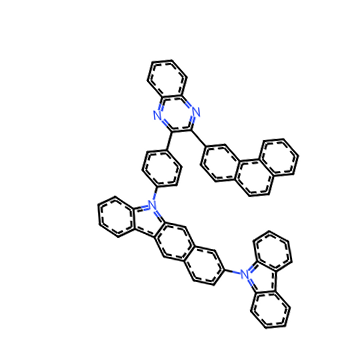 c1ccc2c(c1)ccc1ccc(-c3nc4ccccc4nc3-c3ccc(-n4c5ccccc5c5cc6ccc(-n7c8ccccc8c8ccccc87)cc6cc54)cc3)cc12